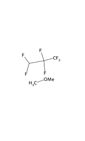 COC.FC(F)C(F)(F)C(F)(F)F